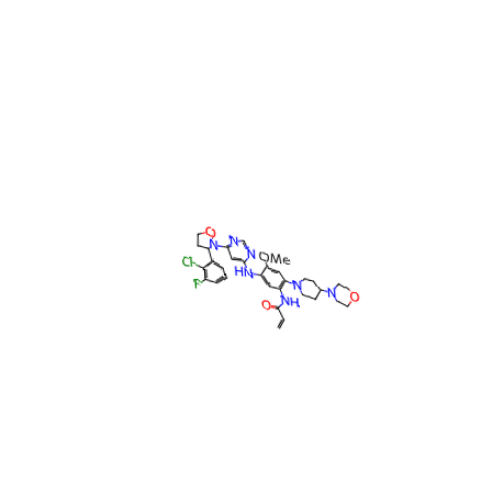 C=CC(=O)Nc1cc(Nc2cc(N3OCCC3c3cccc(F)c3Cl)ncn2)c(OC)cc1N1CCC(N2CCOCC2)CC1